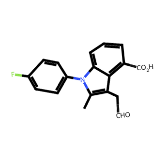 Cc1c(CC=O)c2c(C(=O)O)cccc2n1-c1ccc(F)cc1